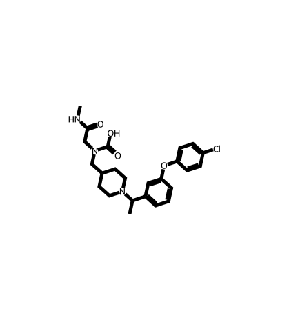 CNC(=O)CN(CC1CCN(C(C)c2cccc(Oc3ccc(Cl)cc3)c2)CC1)C(=O)O